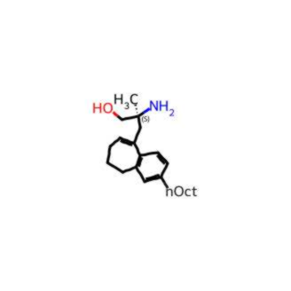 CCCCCCCCc1ccc2c(c1)CCCC=C2C[C@](C)(N)CO